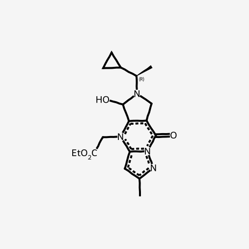 CCOC(=O)Cn1c2c(c(=O)n3nc(C)cc13)CN([C@H](C)C1CC1)C2O